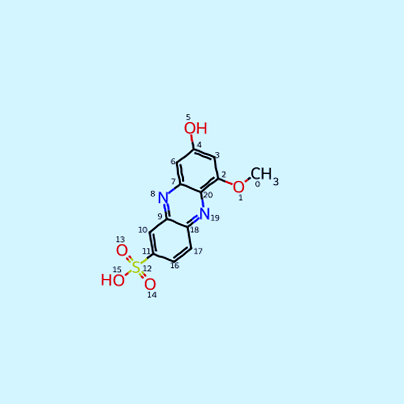 COc1cc(O)cc2nc3cc(S(=O)(=O)O)ccc3nc12